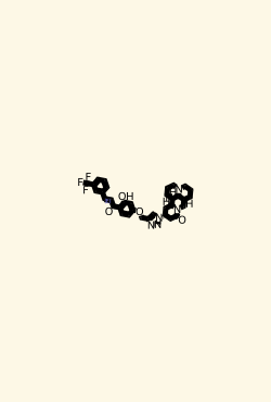 O=C(/C=C/c1cccc(C(F)(F)F)c1)c1ccc(OCc2cn([C@H]3CC(=O)N4C[C@@H]5CCCN6CCC[C@@H]([C@H]56)[C@H]4C3)nn2)cc1O